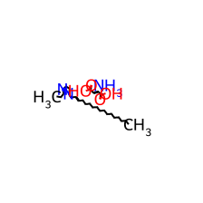 CCCCCCCCCCCCCCC=CCN1CCN=C1CC.N.O=C(O)C=CC(=O)O